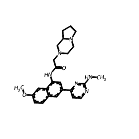 CNc1nccc(-c2cc(NC(=O)CN3CCN4CCCC4C3)c3cc(OC)ccc3c2)n1